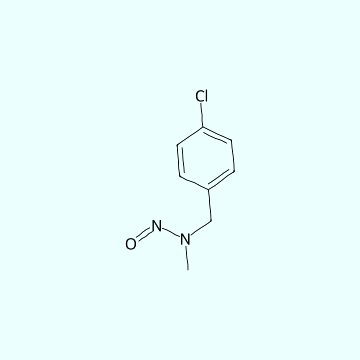 CN(Cc1ccc(Cl)cc1)N=O